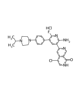 CC(C)N1CCN(c2ccc(-c3cc(-c4cc5c(Cl)c[nH]c(=O)c5cn4)c(N)nc3F)cc2)CC1.Cl